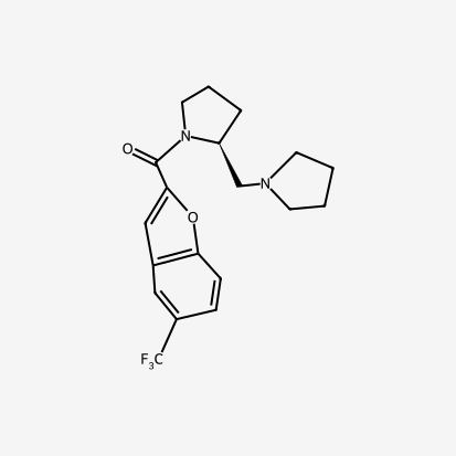 O=C(c1cc2cc(C(F)(F)F)ccc2o1)N1CCC[C@H]1CN1CCCC1